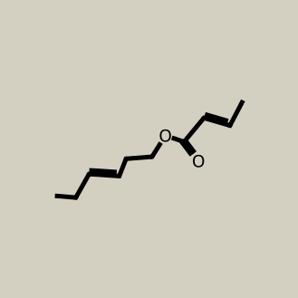 C/C=C/C(=O)OCC/C=C/CC